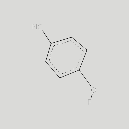 N#Cc1ccc(OF)cc1